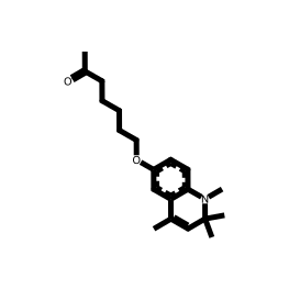 CC(=O)CCCCCOc1ccc2c(c1)C(C)=CC(C)(C)N2C